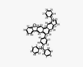 c1ccc(N(c2ccccc2)c2ccc(-c3cc4cc5ccn(-c6ccccc6)c5cc4c4cc5oc6ccccc6c5cc34)cc2)cc1